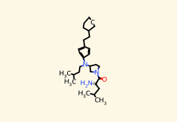 CC(C)CCN(c1ccc(CCC2CCCCC2)cc1)C1CCN(C(=O)[C@@H](N)CC(C)C)C1